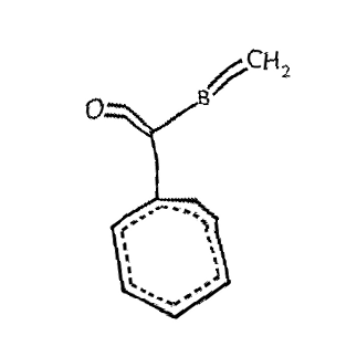 C=BC(=O)c1ccccc1